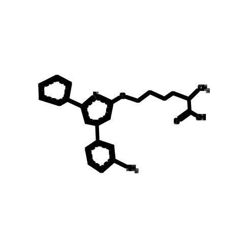 CC(CCCCOc1cc(-c2cccc(N)c2)cc(-c2ccccc2)n1)C(=O)O